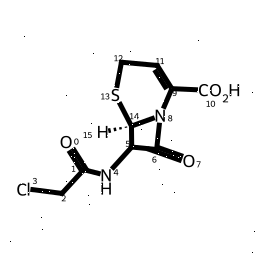 O=C(CCl)NC1C(=O)N2C(C(=O)O)=CCS[C@H]12